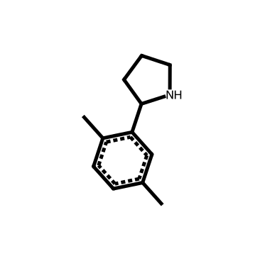 Cc1ccc(C)c(C2CCCN2)c1